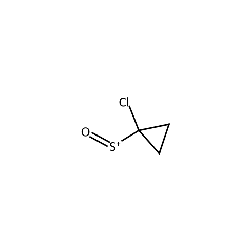 O=[S+]C1(Cl)CC1